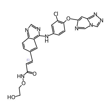 O=C(/C=C/c1ccc2ncnc(Nc3ccc(Oc4cc5nncn5cn4)c(Cl)c3)c2c1)NOCCO